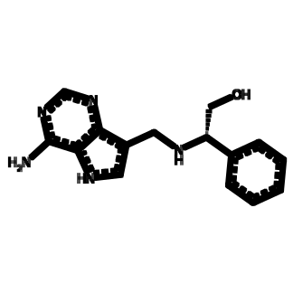 Nc1ncnc2c(CN[C@H](CO)c3ccccc3)c[nH]c12